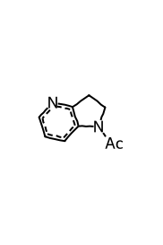 CC(=O)N1CCc2ncccc21